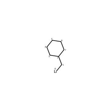 [Li][CH2]C1CCCCC1